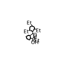 CCc1cc(CC)c(C(=O)c2ccccc2P(=O)(O)CC)c(CC)c1